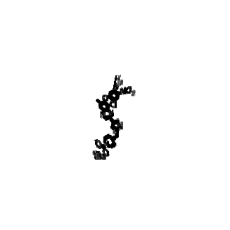 Cc1cc2ncc(-c3cnn(CC4CCN(C(=O)OC(C)(C)C)CC4)c3)nc2c(Cl)c1Oc1ccc([N+](=O)[O-])c(N)c1